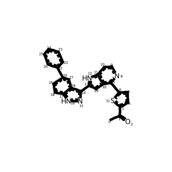 CC(=O)c1ccc(-c2nccc3[nH]c(-c4n[nH]c5ccc(-c6ccccc6)cc45)cc23)s1